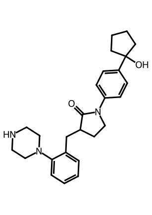 O=C1C(Cc2ccccc2N2CCNCC2)CCN1c1ccc(C2(O)CCCC2)cc1